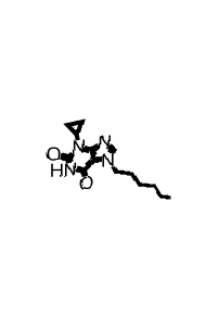 CCCCCCn1cnc2c1c(=O)[nH]c(=O)n2C1CC1